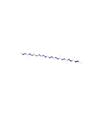 NCCNCCNCCNCCNCCNCCNCCNCCNCCN